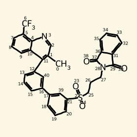 Cc1cnc2c(C(F)(F)F)cccc2c1-c1cccc(-c2cccc(S(=O)(=O)CCCN3C(=O)c4ccccc4C3=O)c2)c1